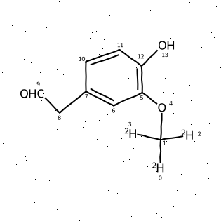 [2H]C([2H])([2H])Oc1cc(CC=O)ccc1O